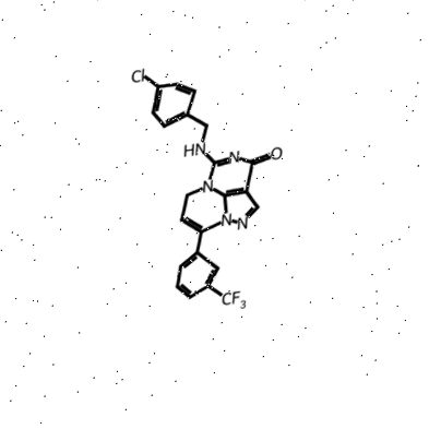 O=c1nc(NCc2ccc(Cl)cc2)n2c3c1cnn3C(c1cccc(C(F)(F)F)c1)=CC2